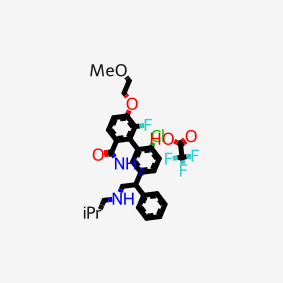 COCCOc1ccc(C(N)=O)c(-c2cc(C(CNCC(C)C)c3ccccc3)ccc2Cl)c1F.O=C(O)C(F)(F)F